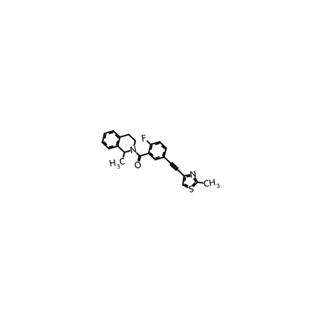 Cc1nc(C#Cc2ccc(F)c(C(=O)N3CCc4ccccc4C3C)c2)cs1